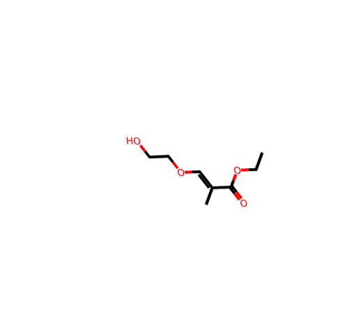 CCOC(=O)C(C)=COCCO